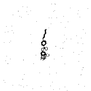 CCCCCC[C@H]1CC[C@H](C(=O)Oc2ccc(S(F)(F)(F)(F)F)c(Cl)c2)CC1